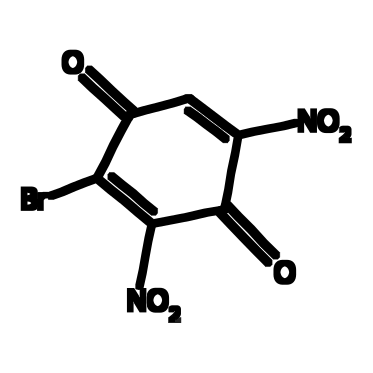 O=C1C=C([N+](=O)[O-])C(=O)C([N+](=O)[O-])=C1Br